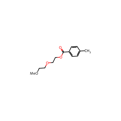 COCCOCCOC(=O)c1ccc(C)cc1